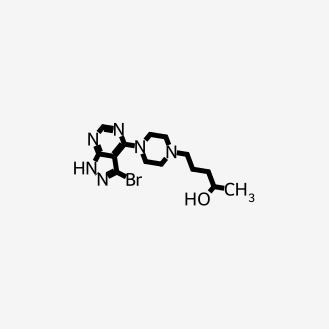 CC(O)CCCN1CCN(c2ncnc3[nH]nc(Br)c23)CC1